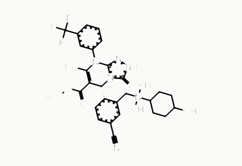 COC(=O)C1=C(C)N(c2cccc(C(F)(F)F)c2)c2n[nH]c(=O)n2[C@@H]1c1ccc(C#N)cc1C[N+](C)(C)C1CCC(O)CC1